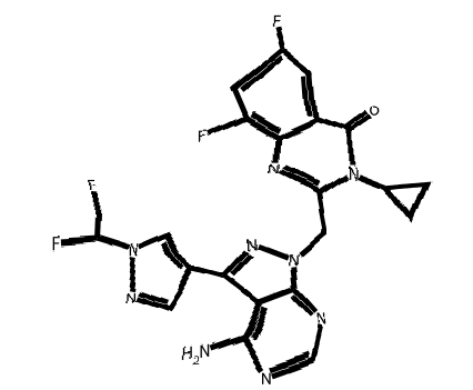 Nc1ncnc2c1c(-c1cnn(C(F)F)c1)nn2Cc1nc2c(F)cc(F)cc2c(=O)n1C1CC1